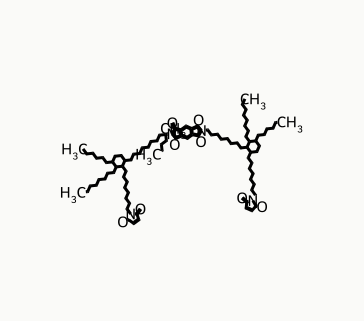 CCCCCCCCC1C(CCCCCC)CCC(CCCCCCCCC(C)(CCCC)n2c(=O)c3cc4c(=O)n(CCCCCCCCC5C(CCCCCCCCN6C(=O)C=CC6=O)CCC(CCCCCC)C5CCCCCCCC)c(=O)c4cc3c2=O)C1CCCCCCCCN1C(=O)C=CC1=O